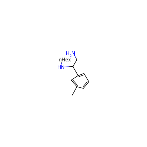 CCCCCCNC(CN)c1cccc(C)c1